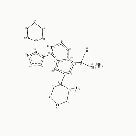 C[C@@H]1COCCN1c1cc(C(O)NN)c2ccnc(-c3ccnn3C3CCCCO3)c2n1